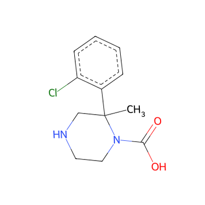 CC1(c2ccccc2Cl)CNCCN1C(=O)O